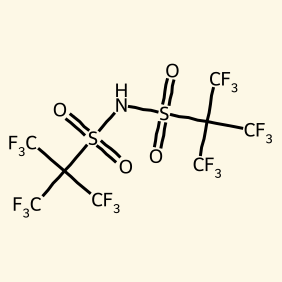 O=S(=O)(NS(=O)(=O)C(C(F)(F)F)(C(F)(F)F)C(F)(F)F)C(C(F)(F)F)(C(F)(F)F)C(F)(F)F